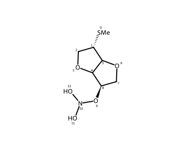 CS[C@H]1COC2C1OC[C@H]2ON(O)O